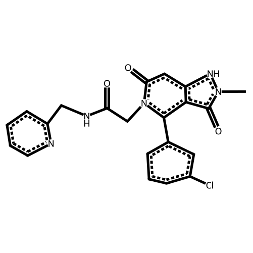 Cn1[nH]c2cc(=O)n(CC(=O)NCc3ccccn3)c(-c3cccc(Cl)c3)c2c1=O